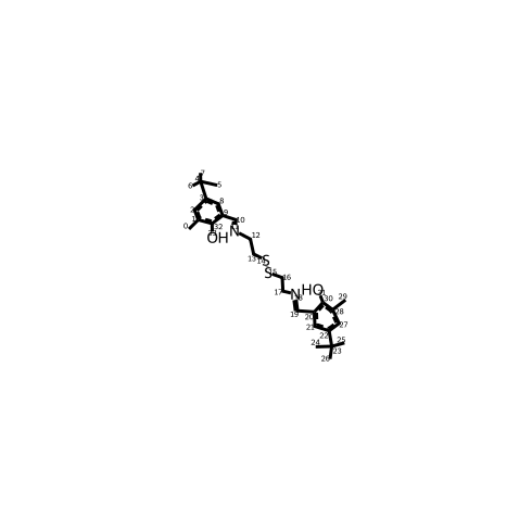 Cc1cc(C(C)(C)C)cc(C=NCCSSCCN=Cc2cc(C(C)(C)C)cc(C)c2O)c1O